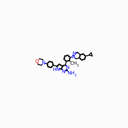 Cc1c(-c2nc(N)nc3[nH]c(-c4ccc(N5CCOCC5)cc4)cc23)cccc1N1Cc2ccc(C3CC3)cc2C=N1